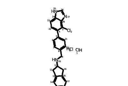 Cl.Cl.Clc1c(-c2ccc(CNC3Cc4ccccc4C3)cc2)ccc2[nH]cnc12